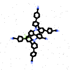 N#Cc1ccc(-c2ccc3c(c2)c2cc(-c4ccc(C#N)cc4)ccc2n3-c2ccc(C(F)(F)F)cc2-c2ccc(C#N)cc2-n2c3ccc(-c4ccc(C#N)cc4)cc3c3cc(-c4ccc(C#N)cc4)ccc32)cc1